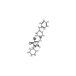 Cn1c(CN2CCC(Cc3ccccc3)CC2)c(Br)c(=O)n1C1CCCCC1